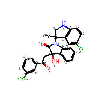 CCCC1(N2C(=O)C(O)(CC(=O)c3cccc(Cl)c3)c3ccccc32)CNc2ccc(Cl)cc21